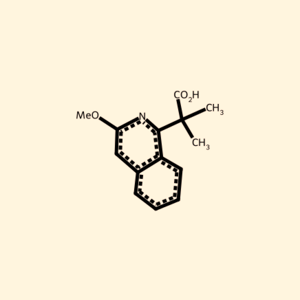 COc1cc2ccccc2c(C(C)(C)C(=O)O)n1